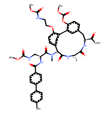 CCCCc1ccc(-c2ccc(C(=O)N[C@@H](CNC(=O)OC(C)(C)C)C(=O)N(C)[C@@H]3C(=O)N[C@@H](C)C(=O)N[C@H](C(=O)OC)Cc4ccc(OC(=O)OC(C)(C)C)c(c4)-c4cc3ccc4OCCNC(=O)OC(C)(C)C)cc2)cc1